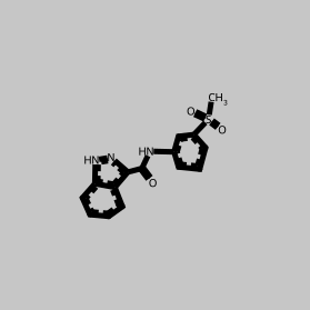 CS(=O)(=O)c1cccc(NC(=O)c2n[nH]c3ccccc23)c1